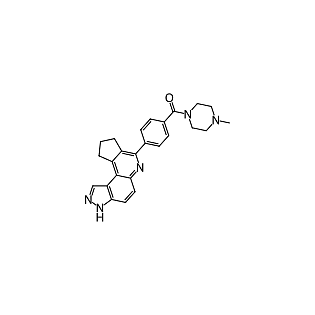 CN1CCN(C(=O)c2ccc(-c3nc4ccc5[nH]ncc5c4c4c3CCC4)cc2)CC1